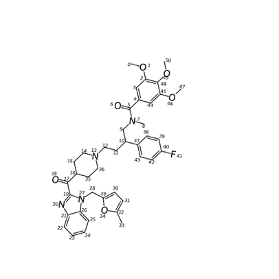 COc1cc(C(=O)N(C)CC(CCN2CCC(C(=O)c3nc4ccccc4n3Cc3ccc(C)o3)CC2)c2ccc(F)cc2)cc(OC)c1OC